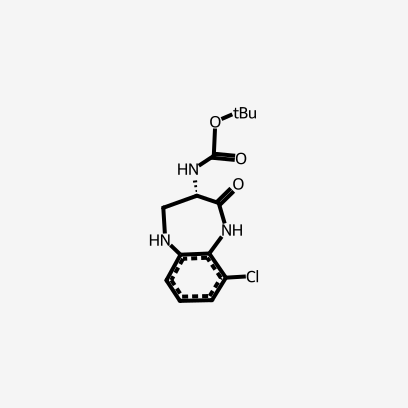 CC(C)(C)OC(=O)N[C@H]1CNc2cccc(Cl)c2NC1=O